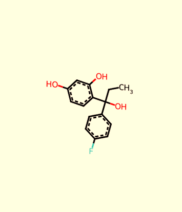 CCC(O)(c1ccc(F)cc1)c1ccc(O)cc1O